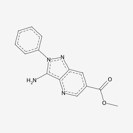 COC(=O)c1cnc2c(N)n(-c3ccccc3)nc2c1